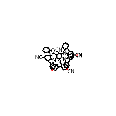 N#Cc1ccc2c(c1)c1ccccc1n2-c1c(C#N)c(-c2nc3ccccc3o2)c(-n2c3ccccc3c3cc(C#N)ccc32)c(-n2c3ccccc3c3cc(C#N)ccc32)c1-n1c2ccccc2c2cc(C#N)ccc21